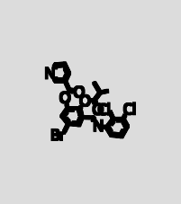 CC(C)C(=O)Oc1c(C=Nc2cccc(Cl)c2Cl)cc(Br)cc1OC(=O)c1cccnc1